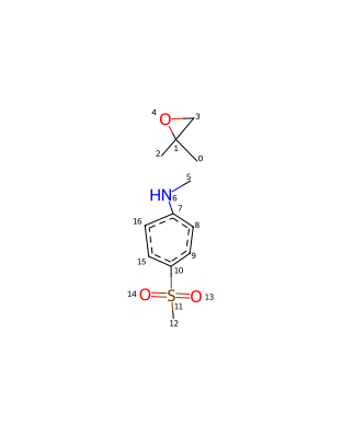 CC1(C)CO1.CNc1ccc(S(C)(=O)=O)cc1